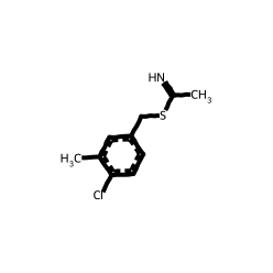 CC(=N)SCc1ccc(Cl)c(C)c1